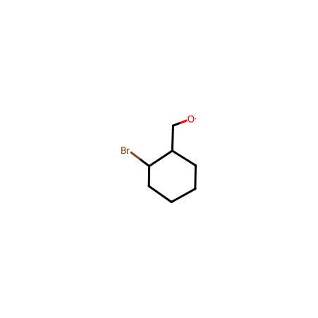 [O]CC1CCCCC1Br